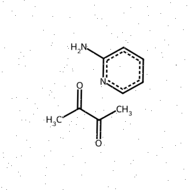 CC(=O)C(C)=O.Nc1ccccn1